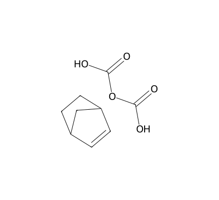 C1=CC2CCC1C2.O=C(O)OC(=O)O